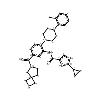 Cc1ccccc1N1CCN(c2ccc(C(=O)N3CCC4(COC4)C3)cc2NC(=O)c2coc(C3CC3)n2)CC1